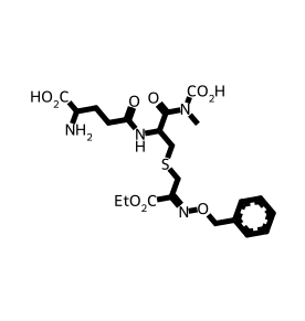 CCOC(=O)C(CSCC(NC(=O)CCC(N)C(=O)O)C(=O)N(C)C(=O)O)=NOCc1ccccc1